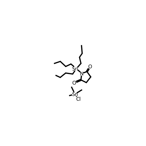 CCC[CH2][Sn]([CH2]CCC)([CH2]CCC)[N]1C(=O)CCC1=O.[CH3][Sn]([CH3])([CH3])[Cl]